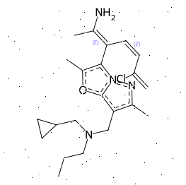 C=C(Cl)/C=C\C(=C(\C)N)c1c(C)oc2c(CN(CCC)CC3CC3)c(C)nn12